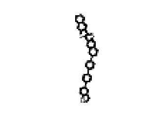 c1ccc2cc3c(cc2c1)sc1c2cc4cc(-c5ccc(-c6ccc(-c7ccc8occc8c7)cc6)cc5)ccc4cc2sc31